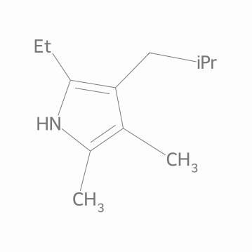 CCc1[nH]c(C)c(C)c1CC(C)C